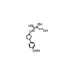 COc1ccc(C2CC[C@@H](O/N=[N+](\O)N(CCO)C(C)(C)C)C2)cc1